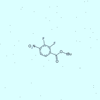 CC(C)(C)OC(=O)c1ccc([N+](=O)[O-])c(F)c1F